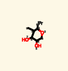 CC(C)C1OCC(O)C(O)C1C